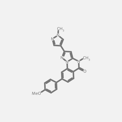 COc1ccc(-c2ccc3c(=O)n(C)c4cc(-c5cnn(C)c5)nn4c3c2)cc1